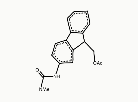 CNC(=O)Nc1ccc2c(c1)C(COC(C)=O)c1ccccc1-2